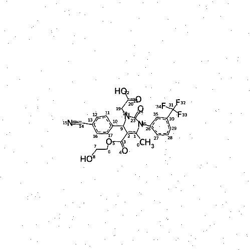 CC1=C(C(=O)OCCO)C(c2ccc(C#N)cc2)N(CC(=O)O)C(=O)N1c1cccc(C(F)(F)F)c1